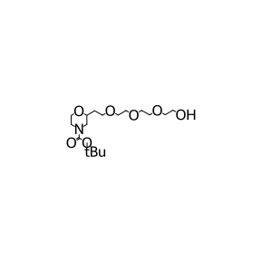 CC(C)(C)OC(=O)N1CCOC(CCOCCOCCOCCO)C1